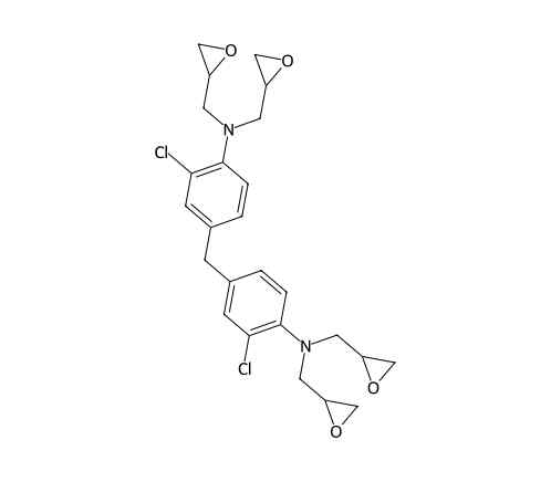 Clc1cc(Cc2ccc(N(CC3CO3)CC3CO3)c(Cl)c2)ccc1N(CC1CO1)CC1CO1